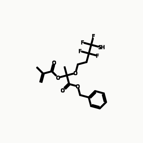 C=C(C)C(=O)OC(C)(OCCC(F)(F)C(F)(F)S)C(=O)OCc1ccccc1